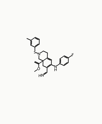 C=C(OC)C12CC(C=N)=C(Nc3ccc(F)cc3)C=C1CCN(Sc1cccc(C)c1)C2